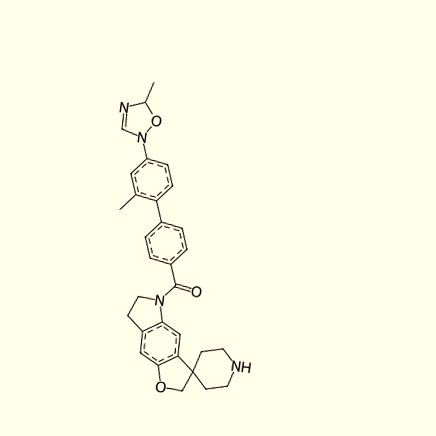 Cc1cc(N2C=NC(C)O2)ccc1-c1ccc(C(=O)N2CCc3cc4c(cc32)C2(CCNCC2)CO4)cc1